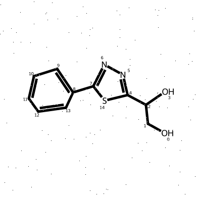 OCC(O)c1nnc(-c2ccccc2)s1